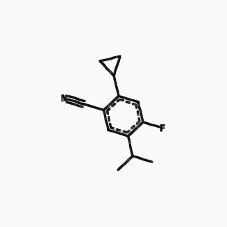 CC(C)c1cc(C#N)c(C2CC2)cc1F